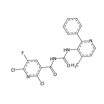 Cc1ccnc(-c2ccccc2)c1NC(=O)NC(=O)c1cc(F)c(Cl)nc1Cl